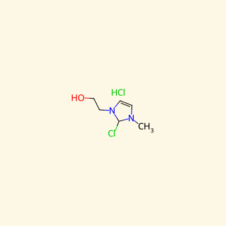 CN1C=CN(CCO)C1Cl.Cl